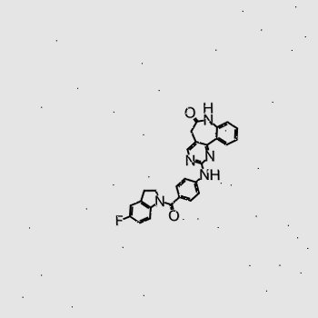 O=C1Cc2cnc(Nc3ccc(C(=O)N4CCc5cc(F)ccc54)cc3)nc2-c2ccccc2N1